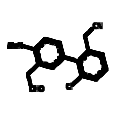 CNc1ccc(-c2c(Cl)cccc2CC#N)cc1CC=O